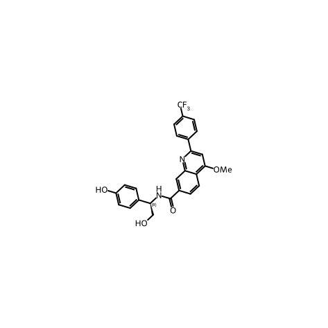 COc1cc(-c2ccc(C(F)(F)F)cc2)nc2cc(C(=O)N[C@@H](CO)c3ccc(O)cc3)ccc12